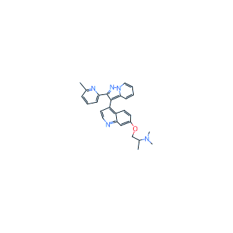 Cc1cccc(-c2nn3ccccc3c2-c2ccnc3cc(OCC(C)N(C)C)ccc23)n1